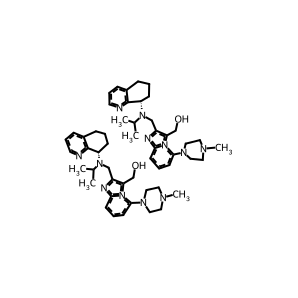 CC(C)N(Cc1nc2cccc(N3CCN(C)CC3)n2c1CO)[C@H]1CCCc2cccnc21.CC(C)N(Cc1nc2cccc(N3CCN(C)CC3)n2c1CO)[C@H]1CCCc2cccnc21